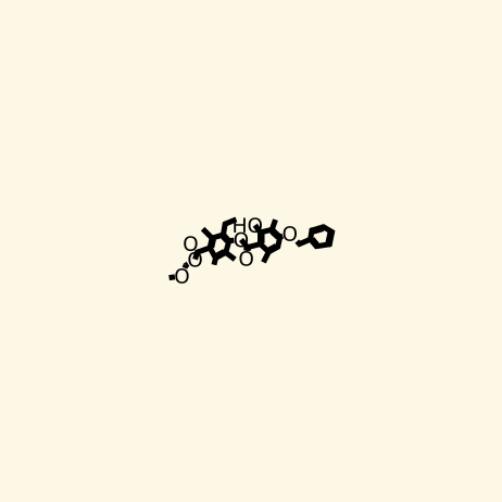 CCc1c(C)c(C(=O)OCOC)c(C)c(C)c1OC(=O)c1c(C)cc(OCc2ccccc2)c(C)c1O